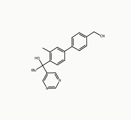 Cc1cc(-c2ccc(CC#N)cc2)ccc1C(O)(c1cncnc1)C(C)(C)C